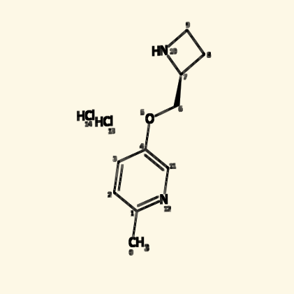 Cc1ccc(OC[C@@H]2CCN2)cn1.Cl.Cl